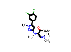 COC(=O)/C(=C\N(C)C)N(C)c1cc(-c2ccc(Cl)c(Cl)c2)n(C)n1